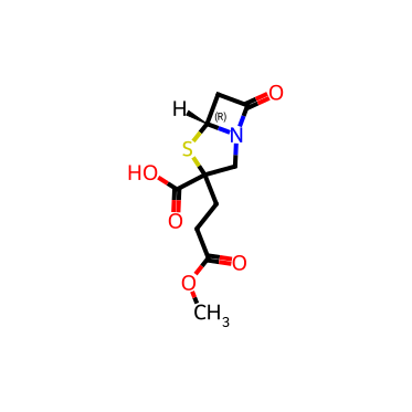 COC(=O)CCC1(C(=O)O)CN2C(=O)C[C@H]2S1